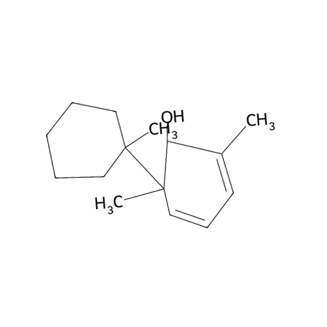 CC1=CC=CC(C)(C2(C)CCCCC2)C1O